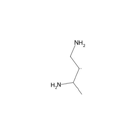 CC(N)[CH]CN